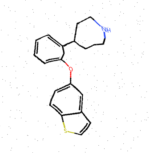 c1ccc(C2CCNCC2)c(Oc2ccc3sccc3c2)c1